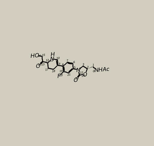 CC(=O)NC[C@H]1CN(c2ccc(C3=CNC(C(=O)CO)CC3)c(F)c2)C(=O)O1